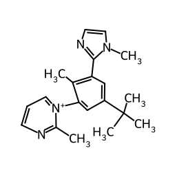 Cc1c(-c2nccn2C)cc(C(C)(C)C)cc1-[n+]1cccnc1C